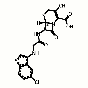 CC1=C(C(=O)O)N2C(=O)C(NC(=O)CNc3csc4ccc(Cl)cc34)[C@@H]2SC1